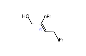 CCC/C(=C\CC(C)C)CO